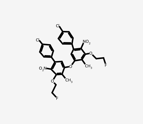 Cc1c(Oc2cc(-c3ccc(Cl)cc3)c([N+](=O)[O-])c(OCCF)c2C)cc(-c2ccc(Cl)cc2)c([N+](=O)[O-])c1OCCF